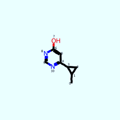 CC1CC1c1cc(O)ncn1